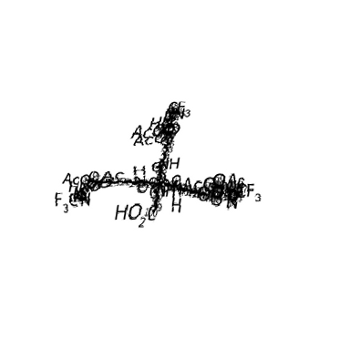 CC(=O)O[C@@H]1[C@H](OC(C)=O)[C@@H](Nc2cncc(C(F)(F)F)n2)CO[C@@H]1COCCCCCCNC(=O)CCOCC(COCCC(=O)NCCCCCCOC[C@H]1OC[C@H](Nc2cncc(C(F)(F)F)n2)[C@@H](OC(C)=O)[C@H]1OC(C)=O)(COCCC(=O)NCCCCCCOC[C@H]1OC[C@H](Nc2cncc(C(F)(F)F)n2)[C@@H](OC(C)=O)[C@H]1OC(C)=O)NC(=O)CCCC(=O)O